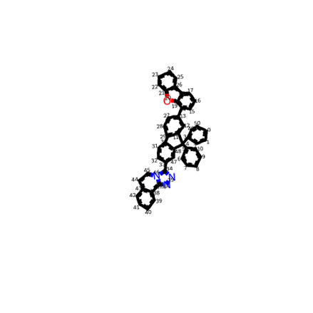 c1ccc(C2(c3ccccc3)c3cc(-c4cccc5c4oc4ccccc45)ccc3-c3ccc(-c4nnc5c6ccccc6ccn45)cc32)cc1